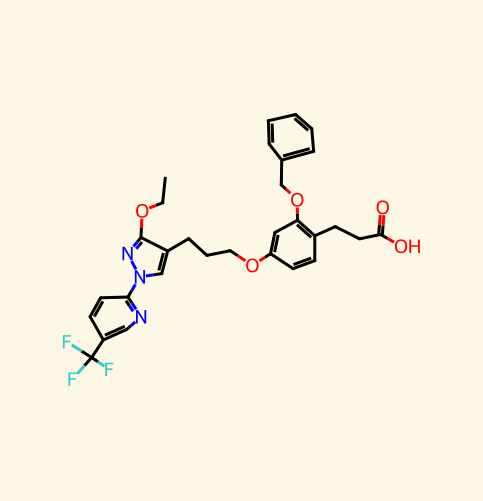 CCOc1nn(-c2ccc(C(F)(F)F)cn2)cc1CCCOc1ccc(CCC(=O)O)c(OCc2ccccc2)c1